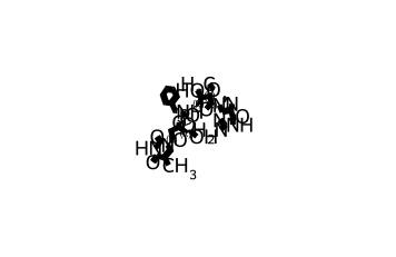 CO[C@H]1C(O)[C@@H](COP(=O)(NCc2ccccc2)OC2C[C@H](n3cc(C)c(=O)[nH]c3=O)O[C@@H]2CO)O[C@H]1n1cnc2c(=O)[nH]c(N)nc21